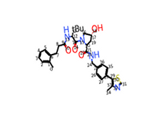 Cc1ccccc1CCC(=O)N[C@H](C(=O)N1C[C@H](O)C[C@H]1C(=O)NCc1ccc(-c2scnc2C)cc1)C(C)(C)C